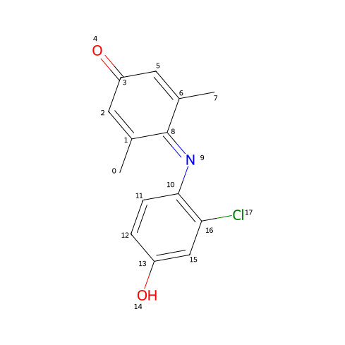 CC1=CC(=O)C=C(C)C1=Nc1ccc(O)cc1Cl